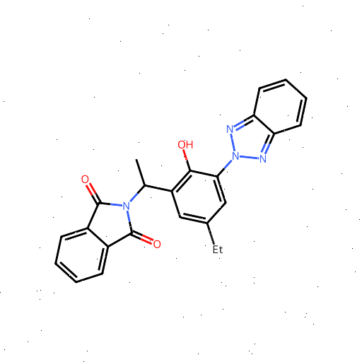 CCc1cc(C(C)N2C(=O)c3ccccc3C2=O)c(O)c(-n2nc3ccccc3n2)c1